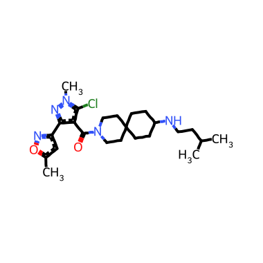 Cc1cc(-c2nn(C)c(Cl)c2C(=O)N2CCC3(CCC(NCCC(C)C)CC3)CC2)no1